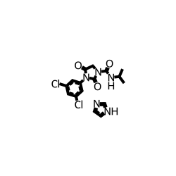 CC(C)NC(=O)N1CC(=O)N(c2cc(Cl)cc(Cl)c2)C1=O.c1c[nH]cn1